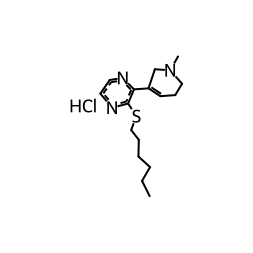 CCCCCCSc1nccnc1C1=CCCN(C)C1.Cl